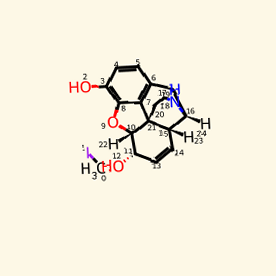 CI.Oc1ccc2c3c1O[C@H]1[C@@H](O)C=C[C@H]4[C@@H](C2)NCC[C@@]341